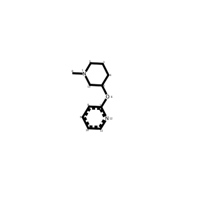 CN1CCCC(Oc2c[c]ccn2)C1